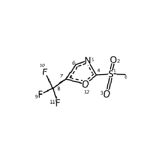 CS(=O)(=O)c1ncc(C(F)(F)F)o1